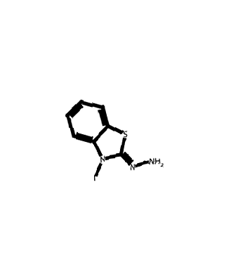 N/N=c1\sc2ccccc2n1I